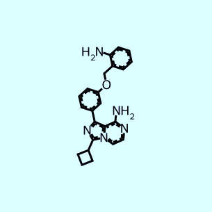 Nc1ccccc1COc1cccc(-c2nc(C3CCC3)n3ccnc(N)c23)c1